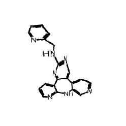 c1ccc(CNc2ncc3c(n2)-c2cccnc2Nc2cnccc2-3)nc1